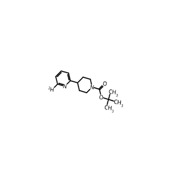 [2H]c1cccc(C2CCN(C(=O)OC(C)(C)C)CC2)n1